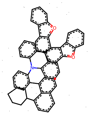 c1ccc(N(c2ccccc2-c2ccc3oc4ccccc4c3c2)c2ccccc2-c2cccc3cccc(C4CCCCC4)c23)c(-c2ccc3c(c2)oc2ccccc23)c1